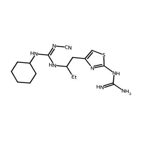 CCC(Cc1csc(NC(=N)N)n1)N/C(=N\C#N)NC1CCCCC1